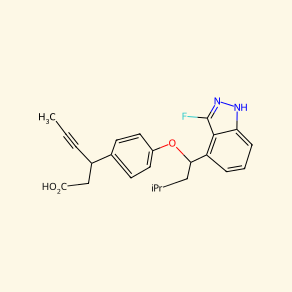 CC#CC(CC(=O)O)c1ccc(OC(CC(C)C)c2cccc3[nH]nc(F)c23)cc1